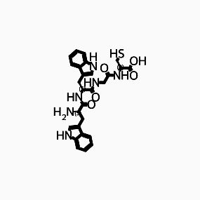 N[C@@H](Cc1c[nH]c2ccccc12)C(=O)N[C@@H](Cc1c[nH]c2ccccc12)C(=O)NCC(=O)N[C@@H](CS)C(=O)O